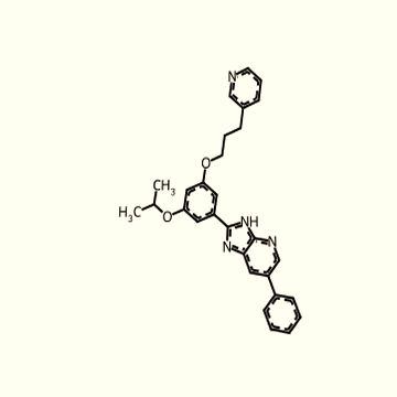 CC(C)Oc1cc(OCCCc2cccnc2)cc(-c2nc3cc(-c4ccccc4)cnc3[nH]2)c1